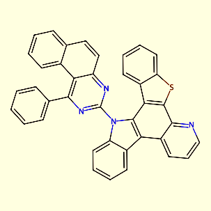 c1ccc(-c2nc(-n3c4ccccc4c4c5cccnc5c5sc6ccccc6c5c43)nc3ccc4ccccc4c23)cc1